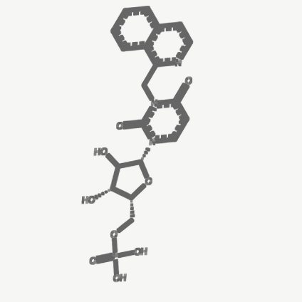 O=c1ccn([C@@H]2O[C@H](COP(=O)(O)O)[C@H](O)C2O)c(=O)n1Cc1nccc2ccccc12